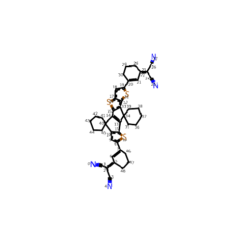 N#CC(C#N)=C1C=C(c2cc3c(s2)C2=C(c4sc5cc(C6=CC(=C(C#N)C#N)CCC6)sc5c4C24CCCCC4)C32CCCCC2)CCC1